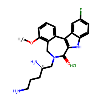 COc1cccc2c1CN(C[C@@H](N)CCCN)C(=O)c1[nH]c3ccc(F)cc3c1-2.Cl